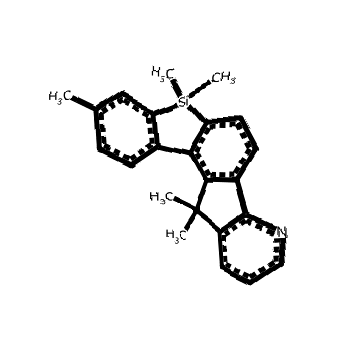 Cc1ccc2c(c1)[Si](C)(C)c1ccc3c(c1-2)C(C)(C)c1cccnc1-3